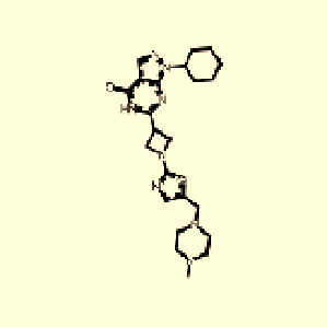 CN1CCN(Cc2cnc(N3CC(c4nc5c(cnn5C5CCCCC5)c(=O)[nH]4)C3)s2)CC1